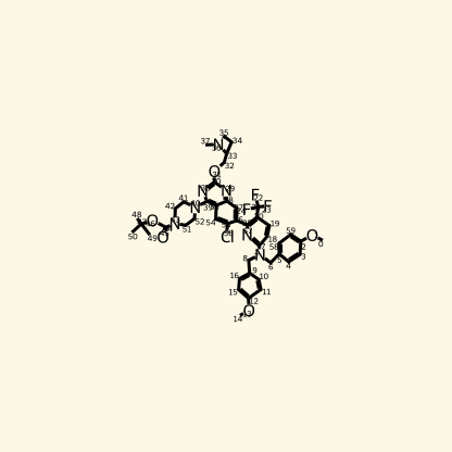 COc1ccc(CN(Cc2ccc(OC)cc2)c2ccc(C(F)(F)F)c(-c3cc4nc(OCC5CCN5C)nc(N5CCN(C(=O)OC(C)(C)C)CC5)c4cc3Cl)n2)cc1